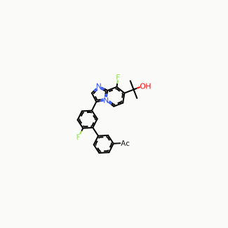 CC(=O)c1cccc(-c2cc(-c3cnc4c(F)c(C(C)(C)O)ccn34)ccc2F)c1